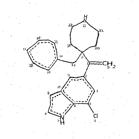 C=C(c1cc(Cl)c2[nH]ccc2c1)C1(Cc2ccccc2)CCNCC1